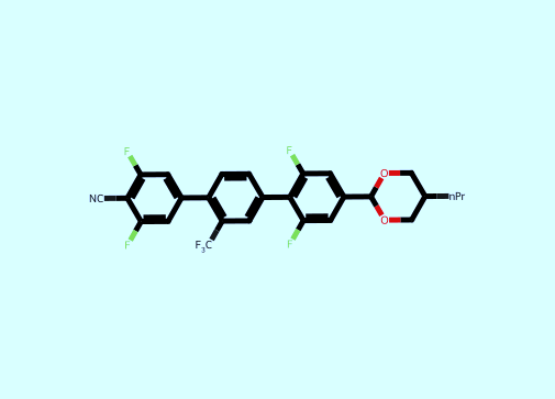 CCCC1COC(c2cc(F)c(-c3ccc(-c4cc(F)c(C#N)c(F)c4)c(C(F)(F)F)c3)c(F)c2)OC1